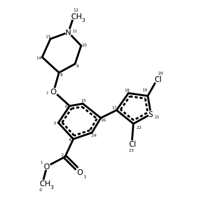 COC(=O)c1cc(OC2CCN(C)CC2)cc(-c2cc(Cl)sc2Cl)c1